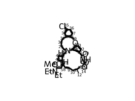 CCN(CC)C(=O)C[C@]1(OC)/C=C/C[C@H](C)[C@@H](C)S(=O)(=O)NC(=O)c2ccc3c(c2)N(CCCCc2cc(Cl)ccc2CO3)C[C@@H]2CC[C@H]21